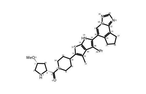 CO[C@H]1CN[C@@H](C(=O)N2CCC(c3sc4[nH]c(-c5cn6ncnc6c6c5CCC6)c(C(C)C)c4c3C)CC2)C1